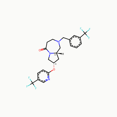 O=C1CCN(Cc2cccc(C(F)(F)F)c2)C[C@@H]2C[C@H](Oc3ccc(C(F)(F)F)cn3)CN12